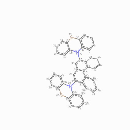 C1=Cc2c(c(N3c4ccccc4Sc4ccccc43)cc3cc(N4c5ccccc5Sc5ccccc54)c4ccccc4c23)CC1